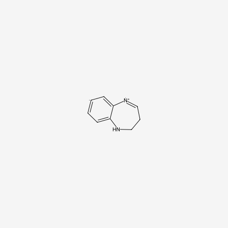 [c]1ccc2c(c1)[N+]=CCCN2